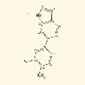 Cc1cc(-c2ccc3ncn(C)c3c2)ccc1N